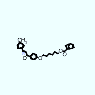 Cc1ccc(/C=C/C(=O)c2ccc(OCCCCCCOC(=O)C3CC4C=CC3C4)cc2)cc1